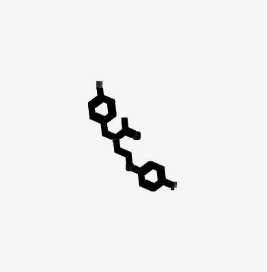 CC(=O)N(CCOc1ccc(F)cc1)Cc1ccc(F)cc1